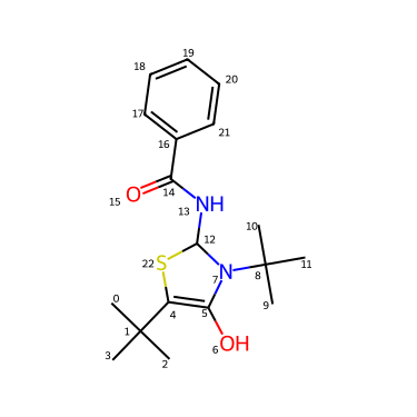 CC(C)(C)C1=C(O)N(C(C)(C)C)C(NC(=O)c2ccccc2)S1